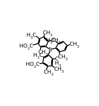 Cc1cc(C)c(B(c2c(C)c(C)c(C)c(C(=O)O)c2C)c2c(C)c(C)c(C)c(C(=O)O)c2C)c(C)c1